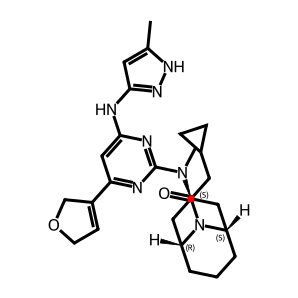 Cc1cc(Nc2cc(C3=CCOC3)nc(N(C)[C@@H]3C[C@H]4CCC[C@@H](C3)N4C(=O)CC3CC3)n2)n[nH]1